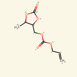 C=CCOC(=O)OCC1OC(=O)OC1C